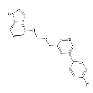 Fc1ccc(-c2cncc(C[CH]COc3cccc4[nH]ccc34)c2)cc1